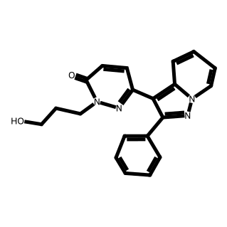 O=c1ccc(-c2c(-c3ccccc3)nn3ccccc23)nn1CCCO